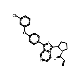 C=CC(=O)N1CCCC1c1nc(-c2ccc(Oc3cccc(Cl)c3)cc2)c2cnccn12